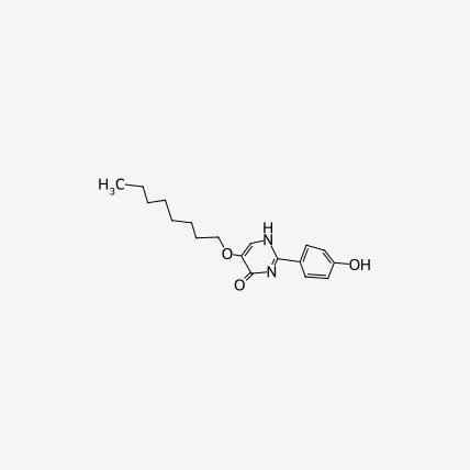 CCCCCCCCOc1c[nH]c(-c2ccc(O)cc2)nc1=O